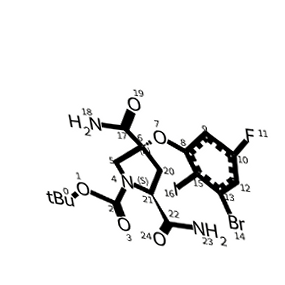 CC(C)(C)OC(=O)N1C[C@@](Oc2cc(F)cc(Br)c2I)(C(N)=O)C[C@H]1C(N)=O